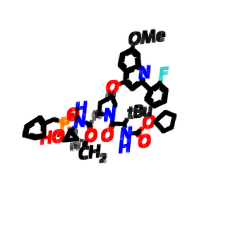 C=C[C@@H]1C[C@]1(NC(=O)[C@@H]1C[C@@H](Oc2cc(-c3ccccc3F)nc3cc(OC)ccc23)CN1C(=O)C(NC(=O)OC1CCCC1)C(C)(C)C)P(=O)(O)Cc1ccccc1